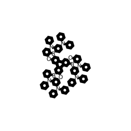 c1ccc(N(c2ccccc2)c2ccc3c(c2)N(c2ccccc2)c2cccc4c2B3c2cc3c(cc2O4)c2cc4c(cc2c2cc5c(cc32)Oc2cc(N(c3ccccc3)c3ccccc3)cc3c2B5c2ccccc2N3c2ccccc2)Oc2cccc3c2B4c2ccc(N(c4ccccc4)c4ccccc4)cc2N3c2ccccc2)cc1